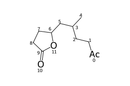 CC(=O)CCC(C)CC1CCC(=O)O1